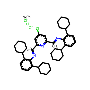 CC(=Nc1c(C2CCCCC2)cccc1C1CCCCC1)c1cc(Cl)cc(C(C)=Nc2c(C3CCCCC3)cccc2C2CCCCC2)n1.[Cl-].[Cl-].[Cl-].[Nd+3]